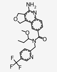 CCC(OC)N(Cc1ccc(C(F)(F)F)cn1)C(=O)c1ccc2nc(N)c3c(c2c1)COC3